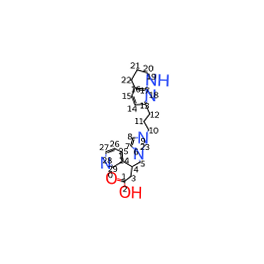 O=C(O)CC(CN1C=CN(CCCc2ccc3c(n2)NCCC3)C1)c1cccnc1